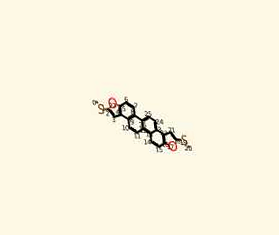 CSc1cc2c(ccc3c2ccc2c4ccc5oc(SC)cc5c4ccc32)o1